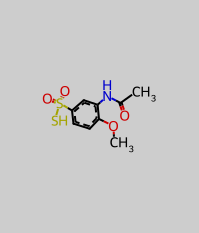 COc1ccc(S(=O)(=O)S)cc1NC(C)=O